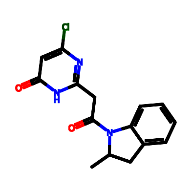 CC1Cc2ccccc2N1C(=O)Cc1nc(Cl)cc(=O)[nH]1